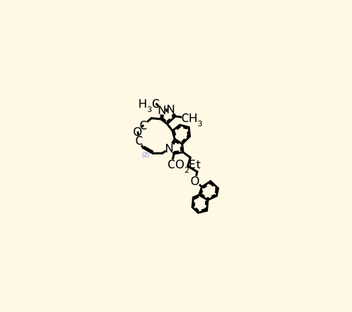 CCOC(=O)c1c(CCCOc2cccc3ccccc23)c2cccc3c2n1C/C=C\COCCc1c-3c(C)nn1C